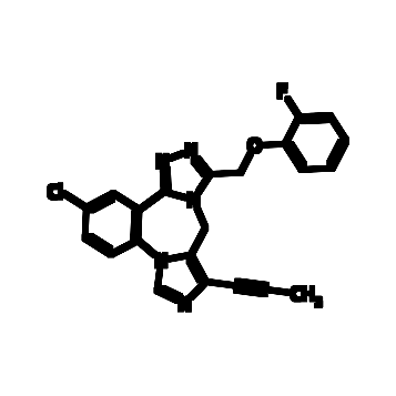 CC#Cc1ncn2c1Cn1c(COc3ccccc3F)nnc1-c1cc(Cl)ccc1-2